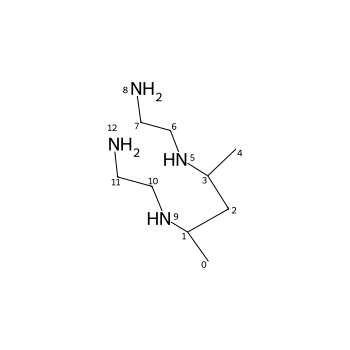 CC(CC(C)NCCN)NCCN